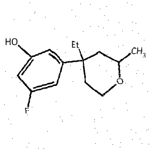 CCC1(c2cc(O)cc(F)c2)CCOC(C)C1